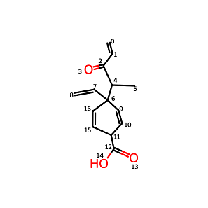 C=CC(=O)C(C)C1(C=C)C=CC(C(=O)O)C=C1